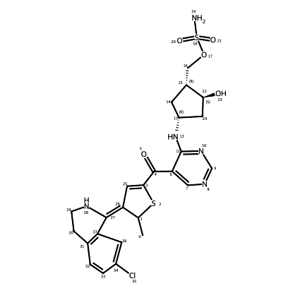 CC1SC(C(=O)c2cncnc2N[C@@H]2C[C@H](COS(N)(=O)=O)[C@@H](O)C2)=CC1=C1NCCc2ccc(Cl)cc21